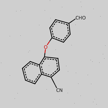 N#Cc1ccc(Oc2ccc(C=O)cc2)c2ccccc12